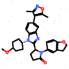 CO[C@H]1CC[C@H](n2c([C@@H]3CCC(=O)N3c3ccc4c(c3)CCO4)nc3cc(-c4c(C)noc4C)ccc32)CC1